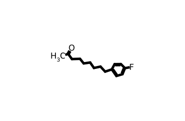 CC(=O)CCCCCCCc1ccc(F)cc1